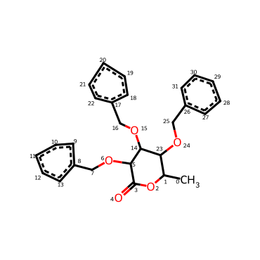 CC1OC(=O)C(OCc2ccccc2)C(OCc2ccccc2)C1OCc1ccccc1